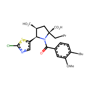 COc1cc(C(=O)N2[C@@H](c3cnc(Cl)s3)[C@@H](C(=O)O)C[C@@]2(CC(C)C)C(=O)O)ccc1C(C)(C)C